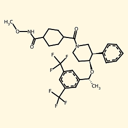 CONC(=O)C1CCC(C(=O)N2CC[C@H](O[C@H](C)c3cc(C(F)(F)F)cc(C(F)(F)F)c3)[C@H](c3ccccc3)C2)CC1